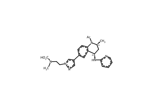 CC(=O)N1c2ccc(-c3cnn(CCN(C)C(=O)O)c3)cc2[C@H](Nc2ccccn2)C[C@@H]1C